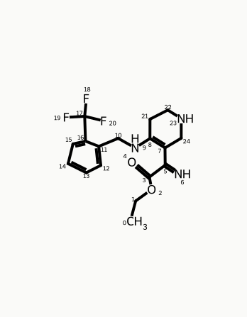 CCOC(=O)C(=N)C1=C(NCc2ccccc2C(F)(F)F)CCNC1